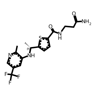 Cc1ncc(C(F)(F)F)cc1N[C@H](C)c1ccc(C(=O)NCCC(N)=O)s1